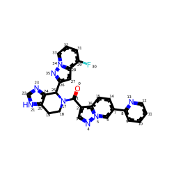 O=C(c1cnn2cc(-c3ccccn3)ccc12)N1CCc2[nH]cnc2C1c1cc2c(F)cccn2n1